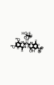 COc1cc(OC)c2nc(Nc3nc(O)c4cc([N+](=O)[O-])cc(C)c4n3)nc(C)c2c1.O=C(O)C(F)(F)F